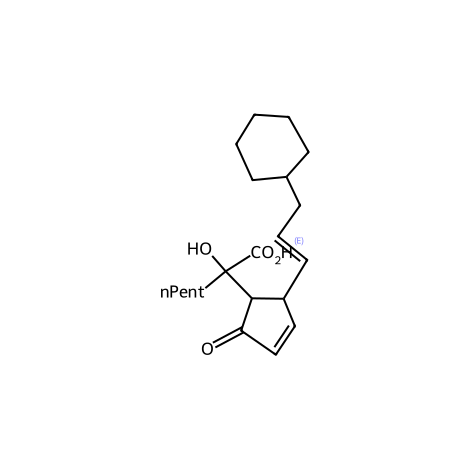 CCCCCC(O)(C(=O)O)C1C(=O)C=CC1/C=C/CC1CCCCC1